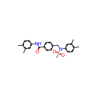 Cc1ccc(NC(=O)c2ccc(CN(c3ccc(C)c(C)c3)S(C)(=O)=O)cc2)cc1C